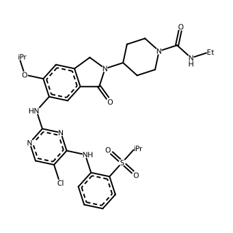 CCNC(=O)N1CCC(N2Cc3cc(OC(C)C)c(Nc4ncc(Cl)c(Nc5ccccc5S(=O)(=O)C(C)C)n4)cc3C2=O)CC1